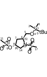 CC(C)(C)[Si](C)(C)OC[C@@H]1C[C@@H](OS(C)(=O)=O)CN1S(C)(=O)=O